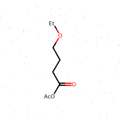 CCOCCCC(=O)OC(C)=O